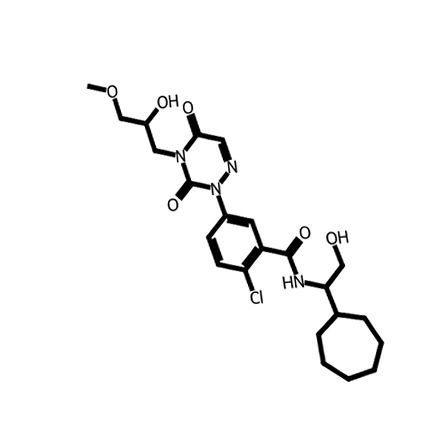 COCC(O)Cn1c(=O)cnn(-c2ccc(Cl)c(C(=O)NC(CO)C3CCCCCC3)c2)c1=O